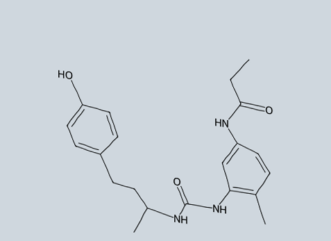 CCC(=O)Nc1ccc(C)c(NC(=O)NC(C)CCc2ccc(O)cc2)c1